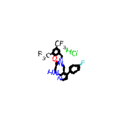 Cl.O=C1CNc2nccc(-c3ccc(F)cc3)c2CN1Cc1cc(C(F)(F)F)cc(C(F)(F)F)c1